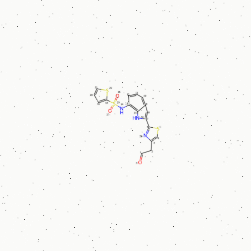 O=CCc1csc(-c2cc3cccc(NS(=O)(=O)c4cccs4)c3[nH]2)n1